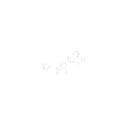 Cc1cccc2c1/C(=C\Nc1ccc(NCCc3ccncc3)c(C(F)(F)F)c1)C(=O)N2